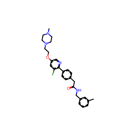 Cc1cccc(CNC(=O)Cc2ccc(-c3ncc(OCCN4CCN(C)CC4)cc3F)cc2)c1